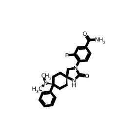 CN(C)[C@]1(c2ccccc2)CC[C@@]2(CC1)CN(c1ccc(C(N)=O)cc1F)C(=O)N2